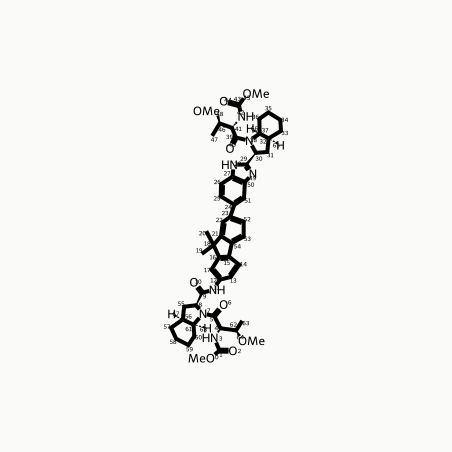 COC(=O)N[C@H](C(=O)N1[C@H](C(=O)Nc2ccc3c(c2)C(C)(C)c2cc(-c4ccc5[nH]c([C@@H]6C[C@@H]7CCCC[C@@H]7N6C(=O)[C@@H](NC(=O)OC)[C@@H](C)OC)nc5c4)ccc2-3)C[C@@H]2CCCC[C@@H]21)[C@@H](C)OC